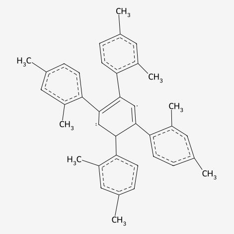 Cc1ccc(C2=[C]C(c3ccc(C)cc3C)=C(c3ccc(C)cc3C)[C]C2c2ccc(C)cc2C)c(C)c1